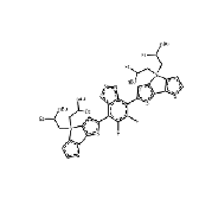 CCCCC(CC)CS1(CC(CC)CCCC)c2ccsc2-c2sc(-c3c(F)c(F)c(-c4cc5c(s4)-c4sccc4S5(CC(CC)CCCC)CC(CC)CCCC)c4nsnc34)cc21